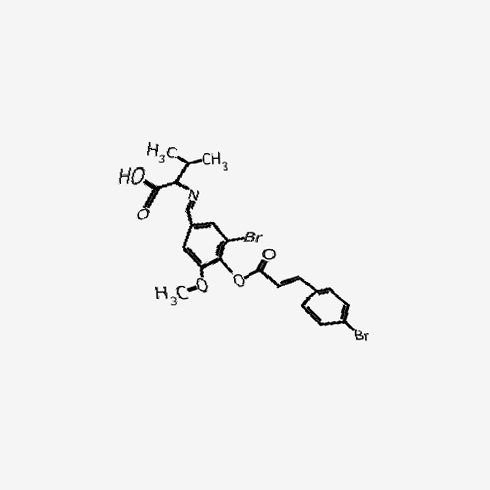 COc1cc(/C=N/C(C(=O)O)C(C)C)cc(Br)c1OC(=O)/C=C/c1ccc(Br)cc1